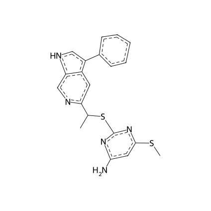 CSc1cc(N)nc(SC(C)c2cc3c(-c4ccccc4)c[nH]c3cn2)n1